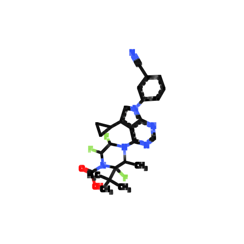 CC1N(c2ncnc3c2c(C2CC2)cn3-c2cccc(C#N)c2)C(F)C(F)N(C(=O)O)C1(F)C(C)(C)C